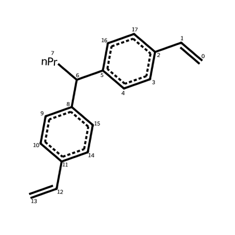 C=Cc1ccc(C(CCC)c2ccc(C=C)cc2)cc1